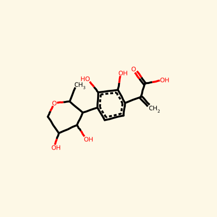 C=C(C(=O)O)c1ccc(C2C(C)OCC(O)C2O)c(O)c1O